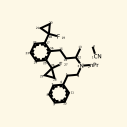 CC#N.CCCN(CCc1ccccc1)C(C)CCc1c(C2(F)CC2)cccc1C1(F)CC1